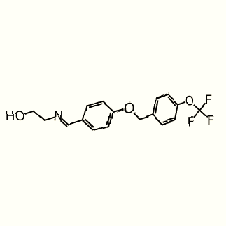 OCCN=Cc1ccc(OCc2ccc(OC(F)(F)F)cc2)cc1